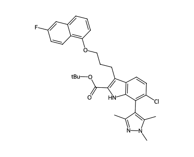 Cc1nn(C)c(C)c1-c1c(Cl)ccc2c(CCCOc3cccc4cc(F)ccc34)c(C(=O)OC(C)(C)C)[nH]c12